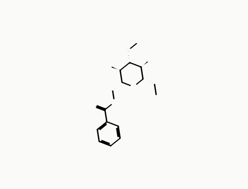 CC[C@@H]1O[C@H](COC(=O)c2ccccc2)[C@@H](O)[C@H](NC)[C@H]1O